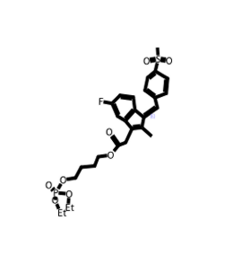 CCOP(=O)(OCC)OCCCCOC(=O)CC1=C(C)/C(=C/c2ccc(S(C)(=O)=O)cc2)c2ccc(F)cc21